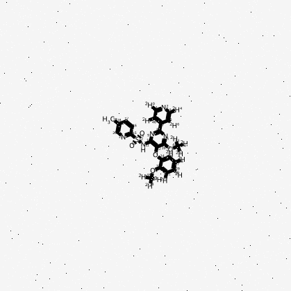 [2H]c1nc([2H])c([2H])c(-c2nc(NS(=O)(=O)c3ccc(C)cn3)c(Oc3c([2H])c([2H])c([2H])c([2H])c3OC([2H])([2H])[2H])c(OC([2H])([2H])[2H])n2)c1[2H]